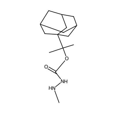 CNNC(=O)OC(C)(C)C12CC3CC(CC(C3)C1)C2